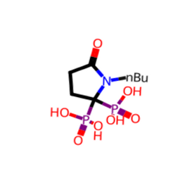 CCCCN1C(=O)CCC1(P(=O)(O)O)P(=O)(O)O